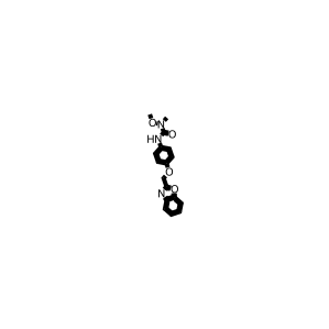 CON(C)C(=O)Nc1ccc(OCc2nc3ccccc3o2)cc1